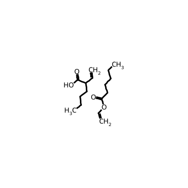 C=CC(CCCC)C(=O)O.C=COC(=O)CCCCC